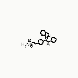 CCC(=C(c1ccc(C=CS(N)(=O)=O)cc1)n1ncc2ccccc21)c1ccccc1